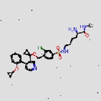 CCNC(=O)C(N)CCCCNS(=O)(=O)c1ccc(COC2(c3cnccc3-c3ccccc3OC3CC3)CC2)c(Cl)c1